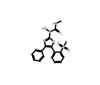 CNC(=O)N(O)c1nc(-c2ccccc2)c(-c2ccccc2S(C)(=O)=O)o1